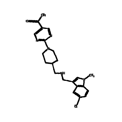 Cn1cc(CNCC2CCN(c3ncc(C(=O)O)cn3)CC2)c2cc(Cl)ccc21